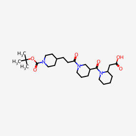 CC(C)(C)OC(=O)N1CCC(CCC(=O)N2CCCC(C(=O)N3CCCCC3CC(=O)O)C2)CC1